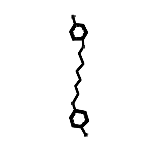 Brc1ccc(OCCCCCCOc2ccc(Br)cc2)cc1